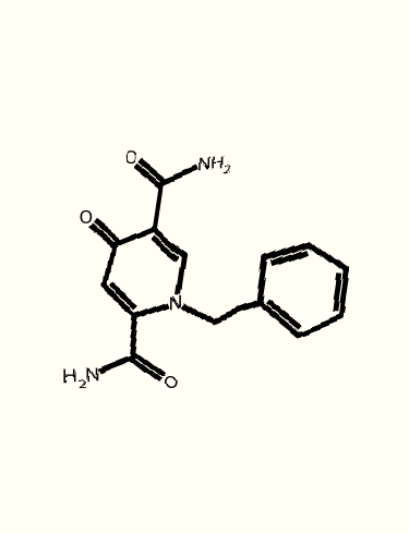 NC(=O)c1cn(Cc2ccccc2)c(C(N)=O)cc1=O